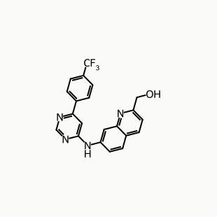 OCc1ccc2ccc(Nc3cc(-c4ccc(C(F)(F)F)cc4)ncn3)cc2n1